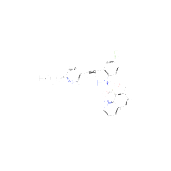 Cc1ccc2cccnc2c1S(=O)(=O)Nc1ccc(F)cc1C#Cc1ccc(C(=O)O)nc1